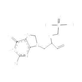 C=CC(CN1CNc2c1nc(N)[nH]c2=O)OCP(=O)(O)O